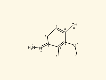 COC1=C(C)C(=NN)CC=C1O